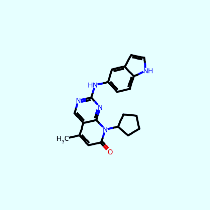 Cc1cc(=O)n(C2CCCC2)c2nc(Nc3ccc4[nH]ccc4c3)ncc12